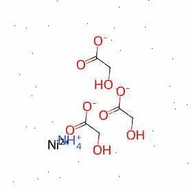 O=C([O-])CO.O=C([O-])CO.O=C([O-])CO.[NH4+].[Ni+2]